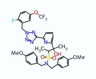 COc1ccc(CN(Cc2ccc(OC)cc2)S(=O)(=O)C(C)C(C)(O)c2cccc(-c3nnn(Cc4cc(OC(F)(F)F)ccc4F)n3)n2)cc1